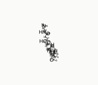 CC(=O)[C@H]1CC[C@H]2[C@@H]3CC[C@H]4C[C@](C)(OC(O)CCC(=O)NCCN(C)C)CC[C@]4(C)[C@H]3CC[C@]12C